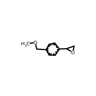 COCc1ccc(C2CO2)cc1